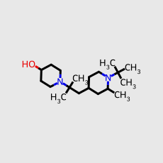 CC1CC(CC(C)(C)N2CCC(O)CC2)CCN1C(C)(C)C